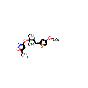 Cc1cc(OC(C)(C)CCc2cc(OC(C)(C)C)cs2)no1